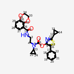 O=C(NCCN(C(=O)Oc1nc(C2CC2)sc1-c1ccccc1)C1CC1)c1cccc2c1OCCO2